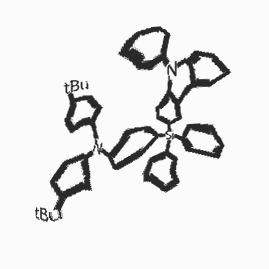 CC(C)(C)c1ccc(N(c2ccc(C(C)(C)C)cc2)c2ccc([Si](c3ccccc3)(c3ccccc3)c3ccc4c(c3)c3ccccc3n4-c3ccccc3)cc2)cc1